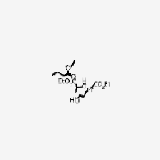 CC(C)CCO.CCCC(=O)OCC.CCOC(=O)C(C)O.CCOC(C)=O